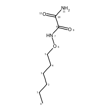 CCCCCCONC(=O)C(N)=O